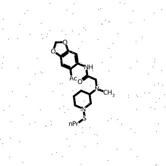 CCCSN1CCCC(N(C)CC(=O)Nc2cc3c(cc2C(C)=O)OCO3)C1